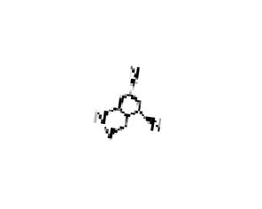 N#CCC1C(C#N)=CC(C#N)=CC1C#N